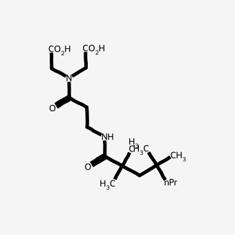 CCCC(C)(C)CC(C)(C)C(=O)NCCC(=O)N(CC(=O)O)CC(=O)O